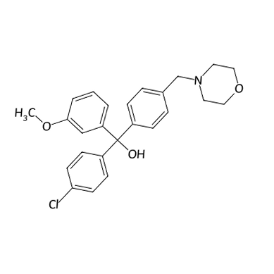 COc1cccc(C(O)(c2ccc(Cl)cc2)c2ccc(CN3CCOCC3)cc2)c1